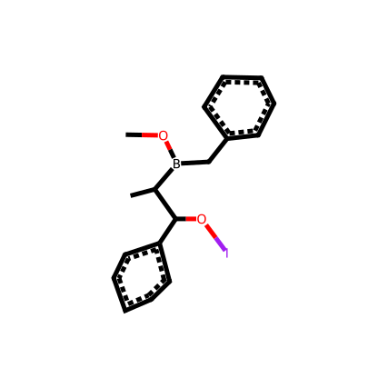 COB(Cc1ccccc1)C(C)C(OI)c1ccccc1